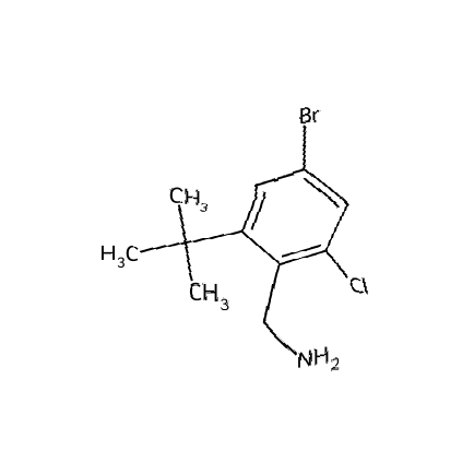 CC(C)(C)c1cc(Br)cc(Cl)c1CN